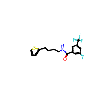 O=C(NCCCCc1cccs1)c1cc(F)cc(C(F)(F)F)c1